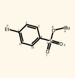 CCc1ccc(S(=O)(=O)OC(C)CC)cc1